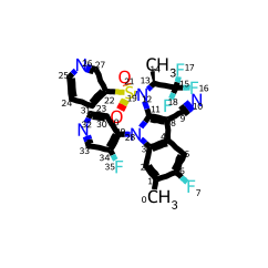 Cc1cc2c(cc1F)c(C#N)c(N([C@@H](C)C(F)(F)F)S(=O)(=O)c1cccnc1)n2-c1ccncc1F